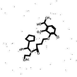 CCCC(C1CCCC1)N(CCOC(C)=O)C(=O)CCCOc1c(Cl)ccc(C(C)O)c1[N+](=O)[O-]